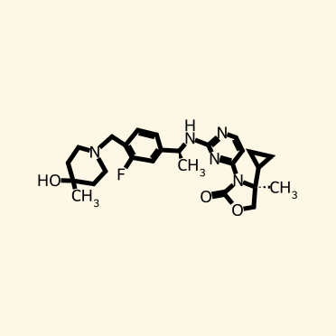 C[C@H](Nc1nccc(N2C(=O)OC[C@]2(C)C2CC2)n1)c1ccc(CN2CCC(C)(O)CC2)c(F)c1